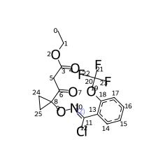 CCOC(=O)CC(=O)C1(O/N=C(\Cl)c2ccccc2OC(F)(F)F)CC1